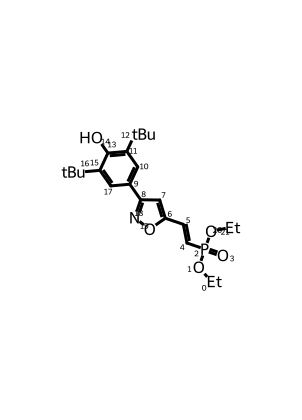 CCOP(=O)(C=Cc1cc(-c2cc(C(C)(C)C)c(O)c(C(C)(C)C)c2)no1)OCC